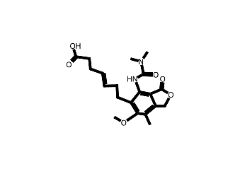 COc1c(C)c2c(c(NC(=O)N(C)C)c1CC/C=C/CCC(=O)O)C(=O)OC2